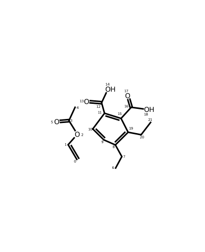 C=COC(C)=O.CCc1ccc(C(=O)O)c(C(=O)O)c1CC